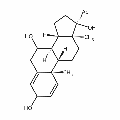 CC(=O)[C@@]1(O)CC[C@H]2[C@@H]3C(O)CC4=CC(O)C=C[C@]4(C)[C@H]3CC[C@@]21C